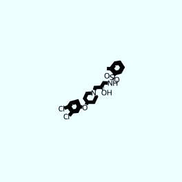 Cc1ccccc1S(=O)(=O)NC[C@H](O)CN1CCC(Oc2ccc(Cl)c(Cl)c2)CC1